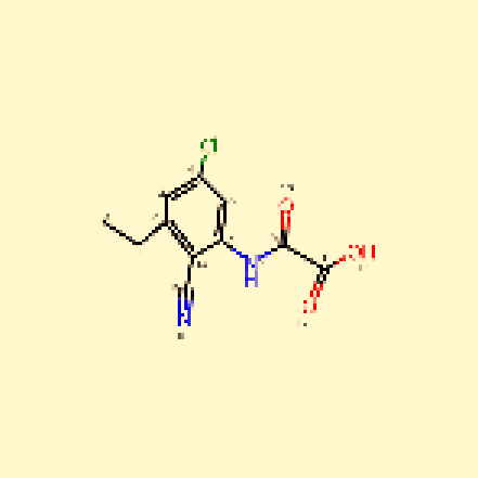 CCc1cc(Cl)cc(NC(=O)C(=O)O)c1C#N